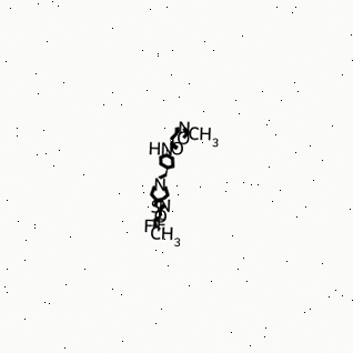 Cc1ncc(CC(=O)N[C@H]2CC[C@H](CCN3CCc4nc(OCC(C)(F)F)sc4CC3)CC2)o1